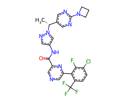 C[C@H](c1cnc(N2CCC2)nc1)n1cc(NC(=O)c2cncc(-c3c(C(F)(F)F)ccc(Cl)c3F)n2)cn1